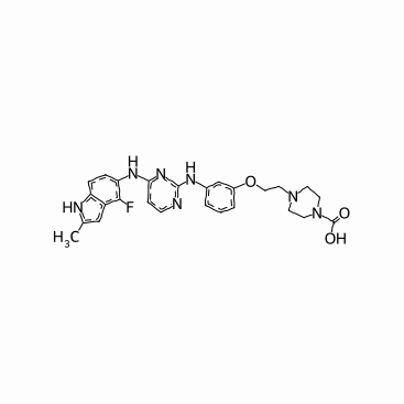 Cc1cc2c(F)c(Nc3ccnc(Nc4cccc(OCCN5CCN(C(=O)O)CC5)c4)n3)ccc2[nH]1